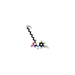 CCCCCCCCCCCCSC(=C[N+](=O)[O-])Nc1cc(F)c(F)c(C)c1F